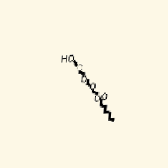 CCCCCCC(=O)OCCOCCOCCOCCO